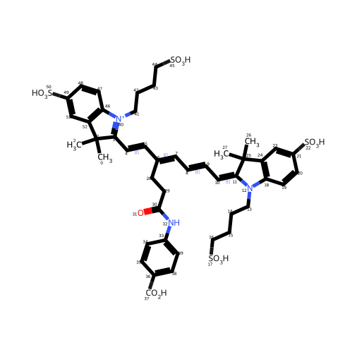 CC1(C)C(/C=C/C(=C/C=C/C=C2/N(CCCCS(=O)(=O)O)c3ccc(S(=O)(=O)O)cc3C2(C)C)CCC(=O)Nc2ccc(C(=O)O)cc2)=[N+](CCCCS(=O)(=O)O)c2ccc(S(=O)(=O)O)cc21